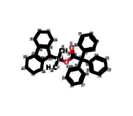 [CH3][Ti]([CH3])([O]C(=O)C(c1ccccc1)(c1ccccc1)c1ccccc1)[CH]1C2=C(CCCC2)C2=C1CCCC2